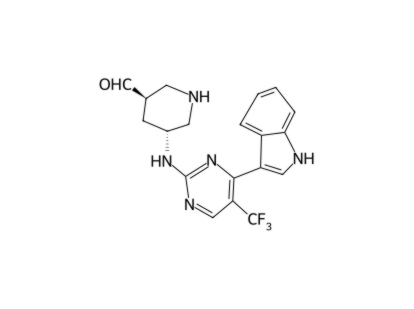 O=C[C@H]1CNC[C@H](Nc2ncc(C(F)(F)F)c(-c3c[nH]c4ccccc34)n2)C1